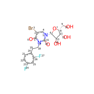 O=c1c(Br)cn([C@@H]2O[C@H](CO)[C@H](O)C2O)c(=O)n1CCc1ccc(F)cc1F